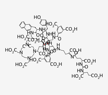 O=C(O)CC[C@H](NC(=O)N[C@@H](CCC(=O)/N=C(/CCCNC(=O)C[C@@H](NC(=O)c1cc(C(=O)O)cc(C(=O)O)c1)C(=O)NCCCC[C@@H](NC(=O)[C@@H](Cc1ccc2ccccc2c1)NC(=O)[C@@H](Cc1ccc(O)cc1)NC(=O)C(CNC(=O)c1cc(C(=O)O)cc(C(=O)O)c1)NC(=O)CCC(C(=O)O)N1CCN(CC(=O)O)CCN(CC(=O)O)CCN(CC(=O)O)CC1)C(=O)O)C(=O)O)C(=O)O)C(=O)O